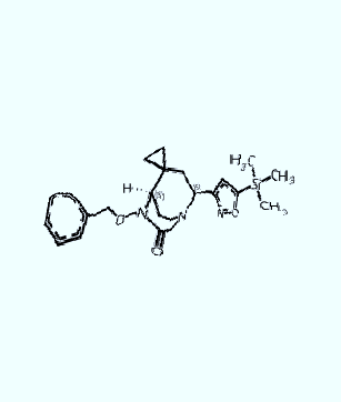 C[Si](C)(C)c1cc([C@@H]2CC3(CC3)[C@H]3CN2C(=O)N3OCc2ccccc2)no1